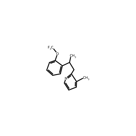 Cc1cccnc1CC(C)c1ccccc1OC(F)(F)F